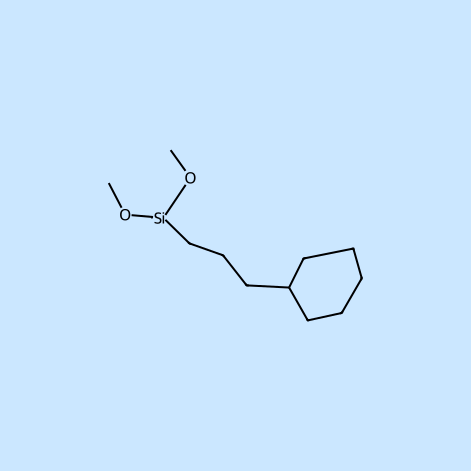 CO[Si](CCCC1CCCCC1)OC